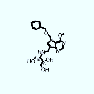 COc1ncnc2c(CN[C@@H](CO)[C@H](O)CO)cn(COCc3ccccc3)c12